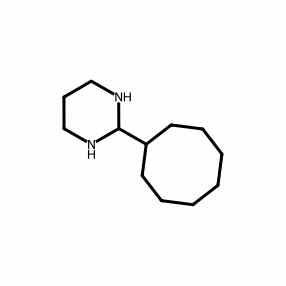 C1CCCC(C2NCCCN2)CCC1